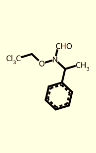 CC(c1ccccc1)N(C=O)OCC(Cl)(Cl)Cl